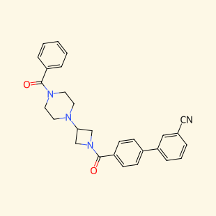 N#Cc1cccc(-c2ccc(C(=O)N3CC(N4CCN(C(=O)c5ccccc5)CC4)C3)cc2)c1